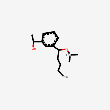 CC(O)c1cccc(C(CCCC(C)(C)C)O[SiH](C)C)c1